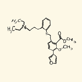 CCN(CC)CCCc1ccccc1SCc1ccc(-c2ccoc2)c(OC)c1C(=O)OC